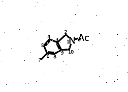 CC(=O)N1Cc2ccc(C)cc2C1